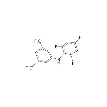 Fc1cc(F)c(Bc2cc(C(F)(F)F)cc(C(F)(F)F)c2)c(F)c1